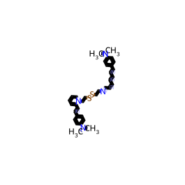 CN(C)c1ccc(/C=C/C=C/C=C\C=N\CCSSCCN2CC=CC=C2/C=C/c2ccc(N(C)C)cc2)cc1